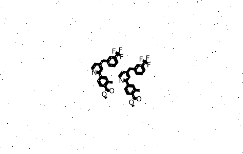 COC(=O)c1ccc(-c2cc(Cc3cccc(C(F)(F)F)c3)ccn2)cc1C.COC(=O)c1ccc(-c2cc(Cc3cccc(C(F)(F)F)c3)ccn2)cc1C